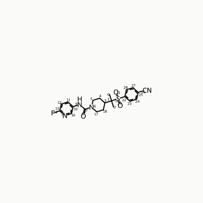 CC(C)(C1CCN(C(=O)Nc2ccc(F)nc2)CC1)S(=O)(=O)c1ccc(C#N)cc1